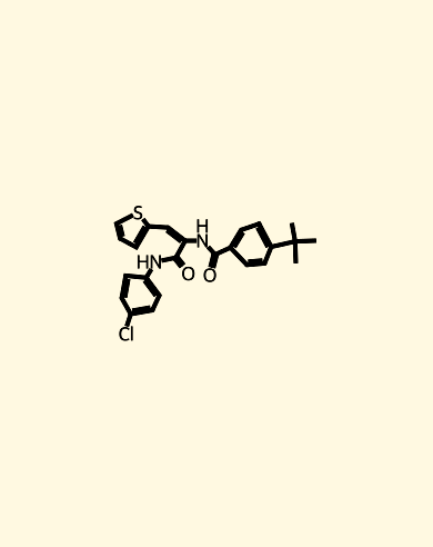 CC(C)(C)c1ccc(C(=O)NC(=Cc2cccs2)C(=O)Nc2ccc(Cl)cc2)cc1